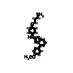 COc1ccc(-c2cccc3nc(Nc4ccc(OCCCN)cc4)nn23)cc1